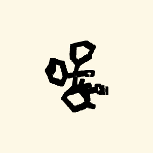 CC1(C)C2CCC1(C)C(O)C2P(=O)(c1ccccc1)c1ccccc1